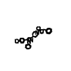 COc1ccc(-c2cc(C3CCN(C(=O)OCc4ccccc4)CC3)nn2-c2ccccc2)cc1